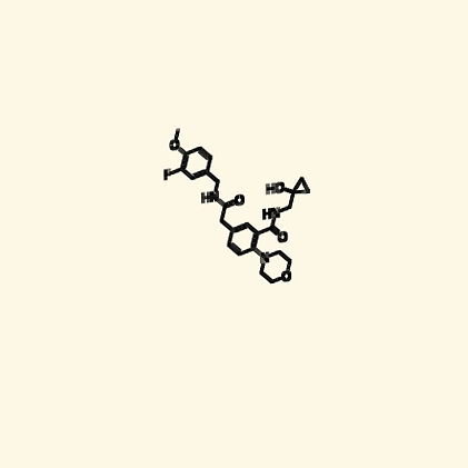 COc1ccc(CNC(=O)Cc2ccc(N3CCOCC3)c(C(=O)NCC3(O)CC3)c2)cc1F